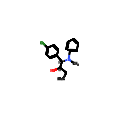 CNC[C@@H](O)[C@H](c1ccc(Cl)cc1)N(C)c1ccccc1